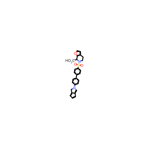 O=C(O)C1c2occc2CCN1S(=O)(=O)c1ccc(-c2ccc(N3C=C4C=CC=C4C3)cc2)cc1